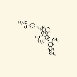 COC(=O)c1ccc(CCn2cc3c(-c4nn(-c5cc6cn(C)nc6nc5C)c(C)c4C(C)C)cccc3n2)cc1